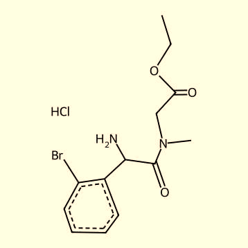 CCOC(=O)CN(C)C(=O)C(N)c1ccccc1Br.Cl